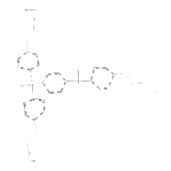 COCCOc1ccc(C(C)(C)c2ccc(C(C)(c3ccc(OCC4CO4)cc3)c3ccc(OCC4CO4)cc3)cc2)cc1